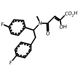 CN(C(=O)C=C(O)C(=O)O)C(Cc1ccc(F)cc1)c1ccc(F)cc1